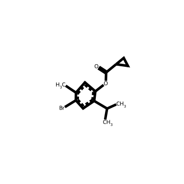 Cc1cc(OC(=O)C2CC2)c(C(C)C)cc1Br